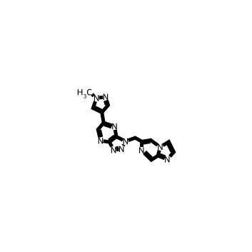 Cn1cc(-c2cnc3nnn(Cc4cn5ccnc5cn4)c3n2)cn1